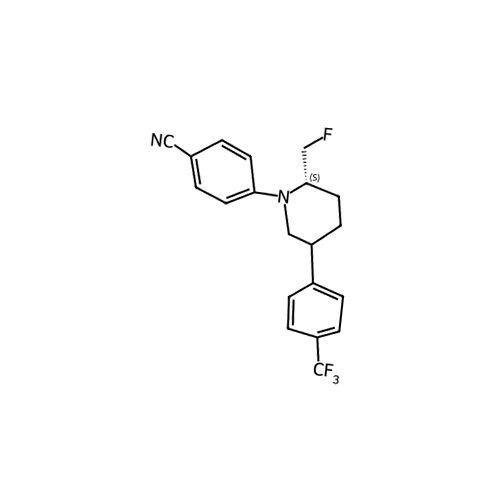 N#Cc1ccc(N2CC(c3ccc(C(F)(F)F)cc3)CC[C@H]2CF)cc1